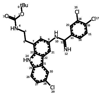 CC(C)(C)OC(=O)NCCc1cc(NC(=N)c2ccc(Cl)c(Cl)c2)cc2c1[nH]c1ccc(Cl)cc12